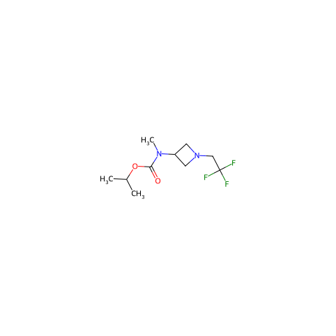 CC(C)OC(=O)N(C)C1CN(CC(F)(F)F)C1